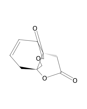 O=C1C[C@@]23CC=CC[C@@]2(COC3=O)O1